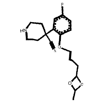 CC1OC(CCCOc2ccc(F)cc2C2(C#N)CCNCC2)O1